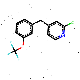 FC(F)(F)Oc1cccc(Cc2ccnc(Cl)c2)c1